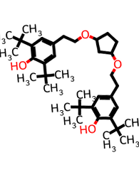 CC(C)(C)c1cc(CCOC2CCC(OCCc3cc(C(C)(C)C)c(O)c(C(C)(C)C)c3)C2)cc(C(C)(C)C)c1O